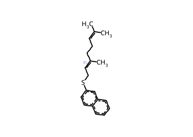 CC(C)=CCC/C(C)=C/CSc1ccc2ccccc2c1